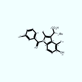 CC[C@@H](C)C(C(=O)O)c1c(C)n(C(=O)c2cccc(F)c2)c2ccc(O)c(F)c12